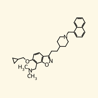 CN(C)Cc1c(OCC2CC2)ccc2c(CCC3CCN(Cc4cccc5ccccc45)CC3)noc12